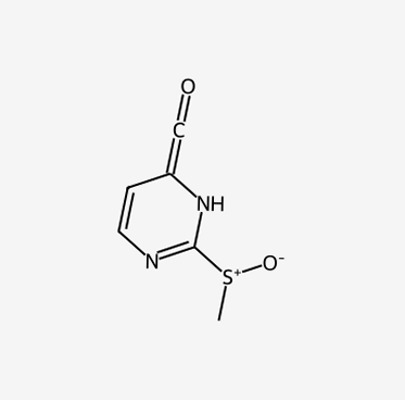 C[S+]([O-])C1=NC=CC(=C=O)N1